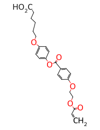 C=CC(=O)OCCOc1ccc(C(=O)Oc2ccc(OCCCCCC(=O)O)cc2)cc1